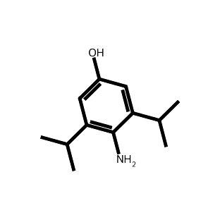 CC(C)c1cc(O)cc(C(C)C)c1N